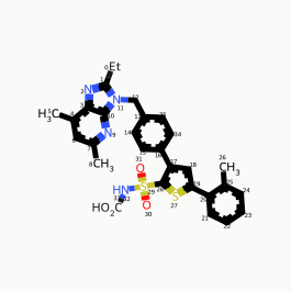 CCc1nc2c(C)cc(C)nc2n1Cc1ccc(-c2cc(-c3ccccc3C)sc2S(=O)(=O)NC(=O)O)cc1